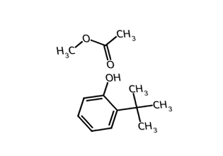 CC(C)(C)c1ccccc1O.COC(C)=O